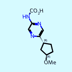 CO[C@@H]1CC[C@@H](c2cnc(NC(=O)O)cn2)C1